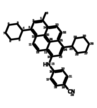 Cc1cc(C2CCCCC2)c2ccc3c(Nc4ccc(C#N)cc4)cc(C4CCCCC4)c4ccc1c2c34